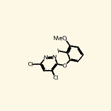 COc1cccc(Oc2nnc(Cl)cc2Cl)c1I